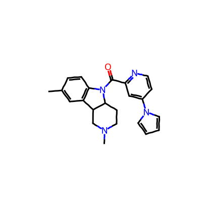 Cc1ccc2c(c1)C1CN(C)CCC1N2C(=O)c1cc(-n2cccc2)ccn1